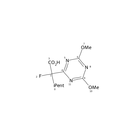 CCCC(C)C(F)(C(=O)O)c1nc(OC)nc(OC)n1